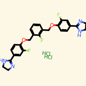 Cl.Cl.Fc1cc(C2=NCCN2)ccc1OCc1cccc(COc2ccc(C3=NCCN3)cc2F)c1F